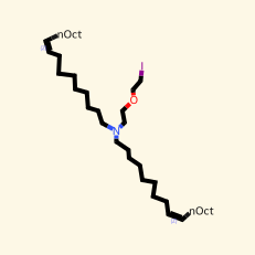 CCCCCCCC/C=C\CCCCCCCCN(CCCCCCCC/C=C\CCCCCCCC)CCOCCI